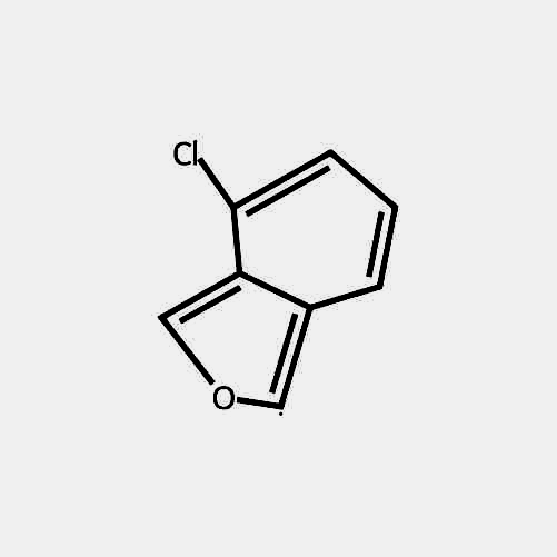 Clc1cccc2[c]occ12